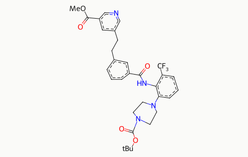 COC(=O)c1cncc(CCc2cccc(C(=O)Nc3c(N4CCN(C(=O)OC(C)(C)C)CC4)cccc3C(F)(F)F)c2)c1